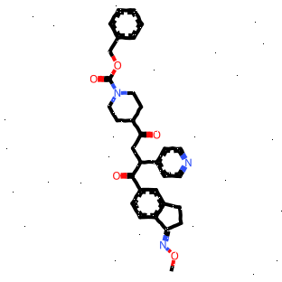 CON=C1CCc2cc(C(=O)C(CC(=O)C3CCN(C(=O)OCc4ccccc4)CC3)c3ccncc3)ccc21